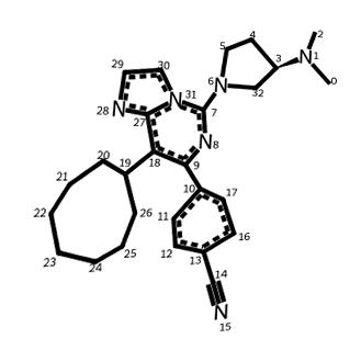 CN(C)[C@@H]1CCN(c2nc(-c3ccc(C#N)cc3)c(C3CCCCCCC3)c3nccn23)C1